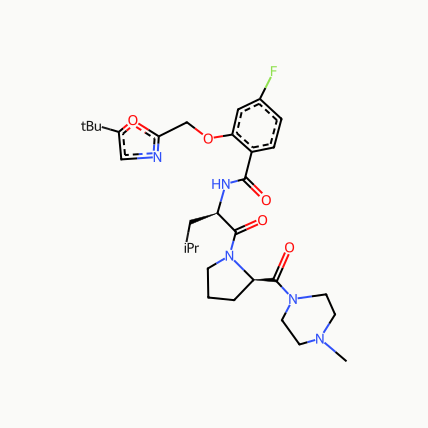 CC(C)C[C@@H](NC(=O)c1ccc(F)cc1OCc1ncc(C(C)(C)C)o1)C(=O)N1CCC[C@@H]1C(=O)N1CCN(C)CC1